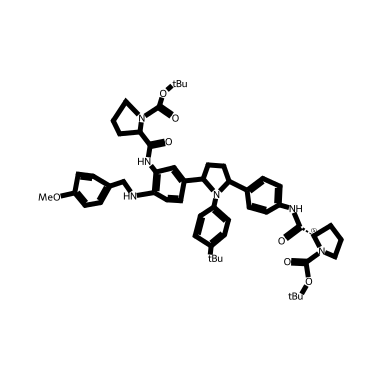 COc1ccc(CNc2ccc(C3CCC(c4ccc(NC(=O)[C@@H]5CCCN5C(=O)OC(C)(C)C)cc4)N3c3ccc(C(C)(C)C)cc3)cc2NC(=O)C2CCCN2C(=O)OC(C)(C)C)cc1